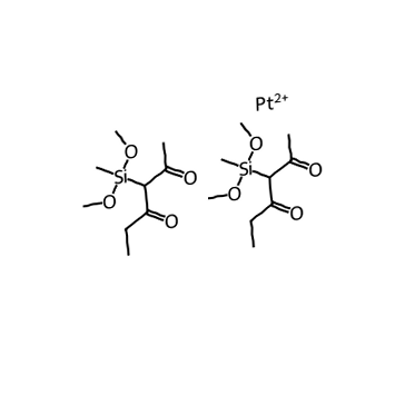 CCC(=O)C(C(C)=O)[Si](C)(OC)OC.CCC(=O)C(C(C)=O)[Si](C)(OC)OC.[Pt+2]